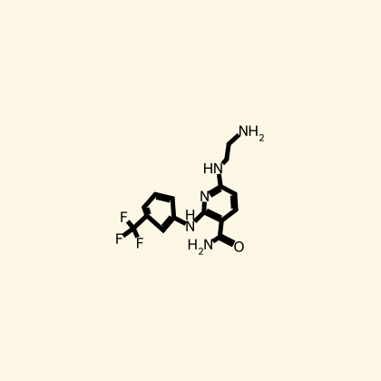 NCCNc1ccc(C(N)=O)c(Nc2cccc(C(F)(F)F)c2)n1